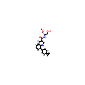 COC[C@H](CO)NC(=O)c1cnc2c(C3=CCC4(CC3)CC4)cccc2c1